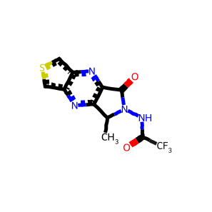 CC1c2nc3cscc3nc2C(=O)N1NC(=O)C(F)(F)F